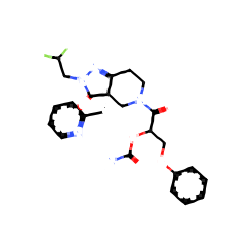 NC(=O)OC(COc1ccccc1)C(=O)N1CCC2=NN(CC(F)F)C(=O)[C@]2(Cc2ccccn2)C1